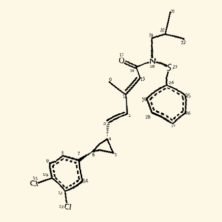 CC(/C=C/[C@@H]1C[C@H]1c1ccc(Cl)c(Cl)c1)=C\C(=O)N(CC(C)C)Sc1ccccc1